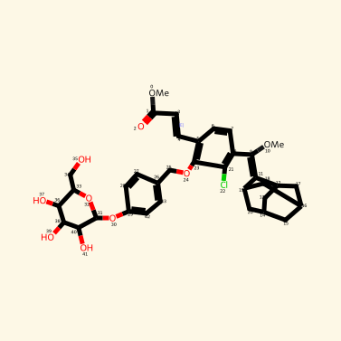 COC(=O)/C=C/c1ccc(C(OC)=C2C3CC4CC(C3)CC2C4)c(Cl)c1OCc1ccc(OC2OC(CO)C(O)C(O)C2O)cc1